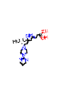 NC(CCCCB(O)O)(CCN1CCN(c2ncccn2)CC1)C(=O)O